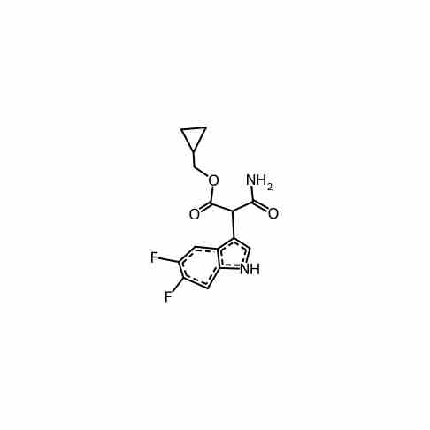 NC(=O)C(C(=O)OCC1CC1)c1c[nH]c2cc(F)c(F)cc12